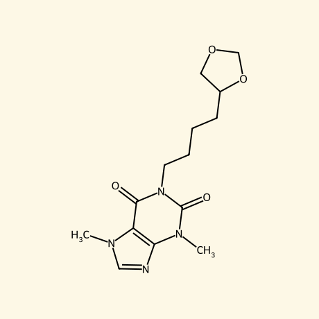 Cn1cnc2c1c(=O)n(CCCCC1COCO1)c(=O)n2C